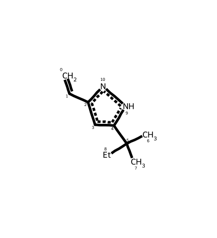 C=Cc1cc(C(C)(C)CC)[nH]n1